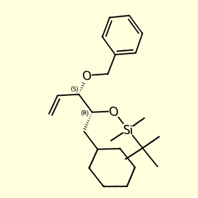 C=C[C@H](OCc1ccccc1)[C@@H](CC1CCCCC1)O[Si](C)(C)C(C)(C)C